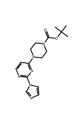 CC(C)(C)OC(=O)N1CCN(c2ccnc(-n3ccnc3)n2)CC1